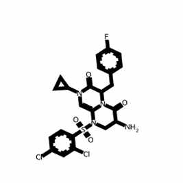 NC1CN(S(=O)(=O)c2ccc(Cl)cc2Cl)C2=CN(C3CC3)C(=O)C(Cc3ccc(F)cc3)N2C1=O